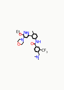 CCOc1nnc(-c2cc(NC(=O)c3ccc(CN(C)C)c(C(F)(F)F)c3)ccc2C)cc1N1CCOCC1